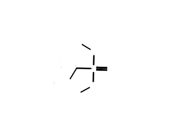 CCOP(=O)(CS(=O)(=O)O)OCC.[LiH]